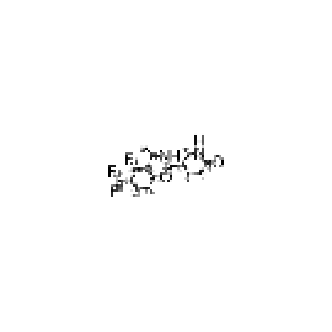 C[C@@H](NC(=O)c1ccc(=O)[nH]c1)c1cccc(C(F)F)c1F